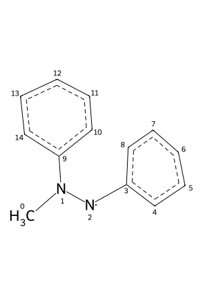 CN([N]c1ccccc1)c1ccccc1